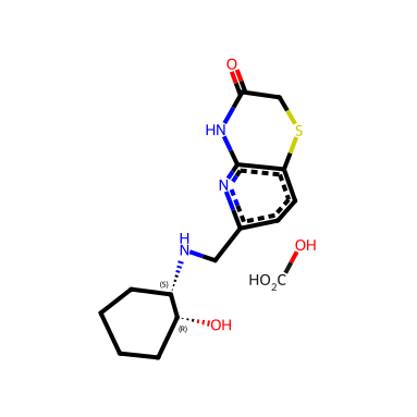 O=C(O)O.O=C1CSc2ccc(CN[C@H]3CCCC[C@H]3O)nc2N1